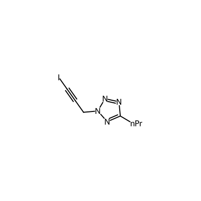 CCCc1nnn(CC#CI)n1